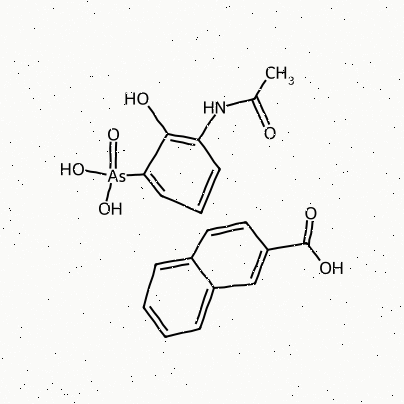 CC(=O)Nc1cccc([As](=O)(O)O)c1O.O=C(O)c1ccc2ccccc2c1